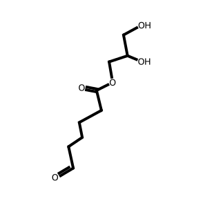 O=CCCCCC(=O)OCC(O)CO